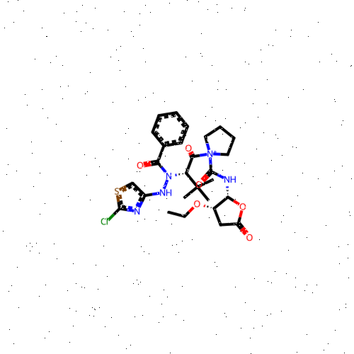 CCO[C@H]1CC(=O)O[C@H]1NC(=O)[N+]1(C(=O)[C@@H](N(Nc2csc(Cl)n2)C(=O)c2ccccc2)C(C)(C)C)CCCC1